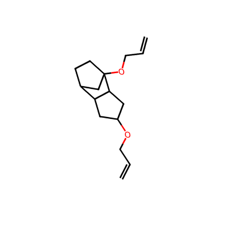 C=CCOC1CC2C3CCC(OCC=C)(C3)C2C1